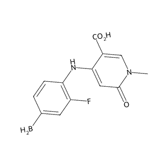 Bc1ccc(Nc2cc(=O)n(C)cc2C(=O)O)c(F)c1